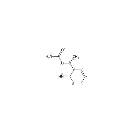 CC(OC(N)=O)C1C=CC=CC1=N